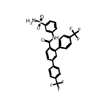 NS(=O)(=O)c1cccc(NC(=O)c2ccc(-c3ccc(C(F)(F)F)cc3)cc2-c2ccc(C(F)(F)F)cc2)c1